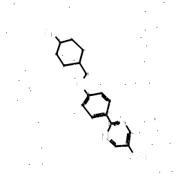 CCCc1cnc(-c2ccc(OCC3CCC(CCC)CC3)cc2)nc1